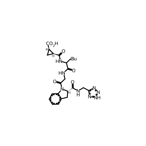 CCC(C)C(NC(=O)[C@H]1C[C@H]1C(=O)O)C(=O)NCC(=O)N1c2ccccc2C[C@H]1C(=O)NCc1nn[nH]n1